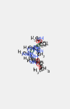 CCNc1nc(Cl)nc(NC(C)C)n1.CCNc1nc(Cl)nc(NCC)n1.CNC(=O)Oc1cccc2c1OC(C)(C)C2.CNC(=O)Oc1cccc2ccccc12